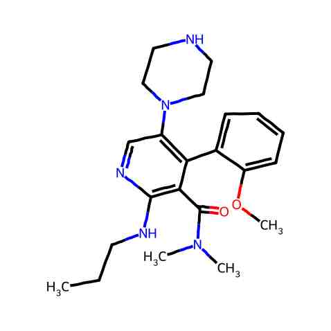 CCCNc1ncc(N2CCNCC2)c(-c2ccccc2OC)c1C(=O)N(C)C